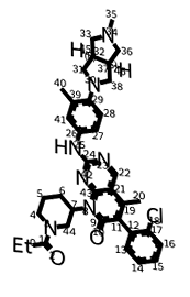 CCC(=O)N1CCCC(n2c(=O)c(-c3ccccc3Cl)c(C)c3cnc(Nc4ccc(N5C[C@H]6CN(C)C[C@H]6C5)c(C)c4)nc32)C1